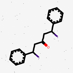 O=C(CC(I)c1ccccc1)CC(I)c1ccccc1